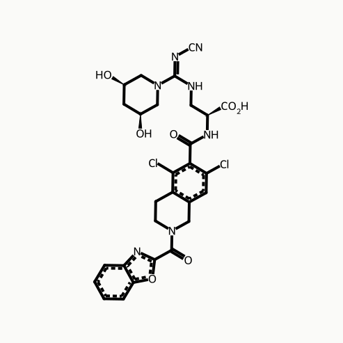 N#C/N=C(\NC[C@H](NC(=O)c1c(Cl)cc2c(c1Cl)CCN(C(=O)c1nc3ccccc3o1)C2)C(=O)O)N1C[C@H](O)C[C@H](O)C1